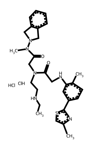 CCNCCN(CC(=O)N(C)N1Cc2ccccc2C1)C(=O)CNc1cc(-c2nc(C)cs2)ccc1C.Cl.Cl